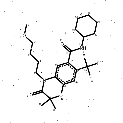 COCCCCN1C(=O)C(C)(C)Oc2cc(C(F)(F)F)c(C(=O)NC3CCCCC3)cc21